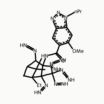 CCCn1nnc2cc(C(=O)NC3(N=N)C(N=N)C4CC(CC)(C4(C)C)C3(N=N)C(N=N)(N=N)N=N)c(OC)cc21